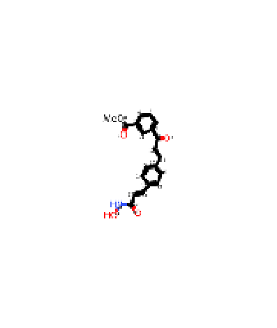 COC(=O)c1cccc(C(=O)C=Cc2ccc(C=CC(=O)NO)cc2)c1